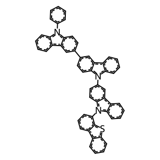 c1ccc(-n2c3ccccc3c3cc(-c4ccc5c(c4)c4ccccc4n5-c4ccc5c(c4)c4ccccc4n5-c4cccc5c4sc4ccccc45)ccc32)cc1